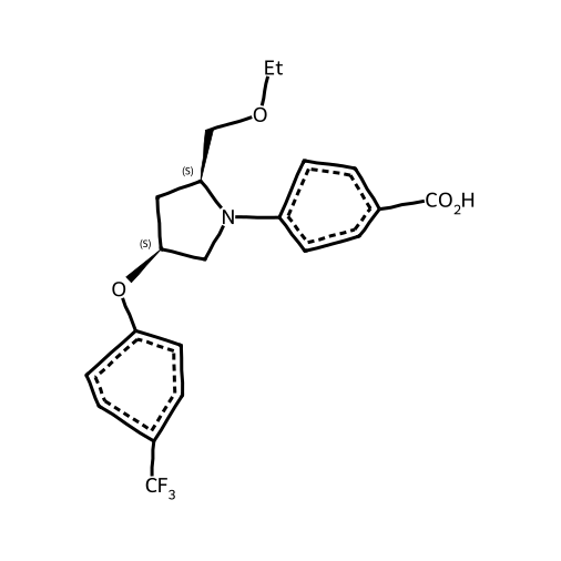 CCOC[C@@H]1C[C@H](Oc2ccc(C(F)(F)F)cc2)CN1c1ccc(C(=O)O)cc1